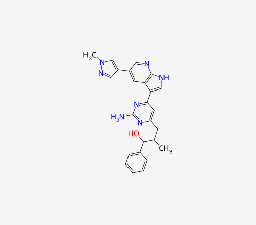 CC(Cc1cc(-c2c[nH]c3ncc(-c4cnn(C)c4)cc23)nc(N)n1)C(O)c1ccccc1